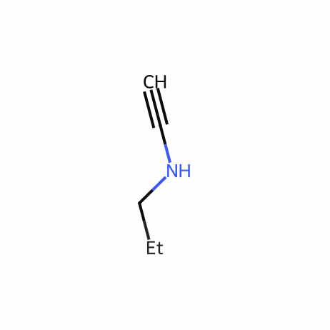 C#CNCCC